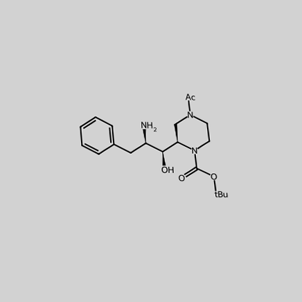 CC(=O)N1CCN(C(=O)OC(C)(C)C)[C@@H]([C@@H](O)[C@H](N)Cc2ccccc2)C1